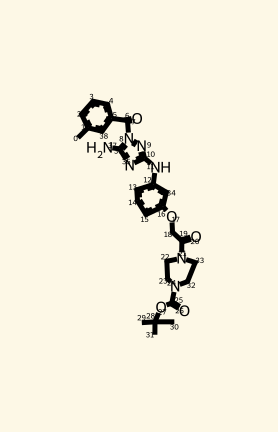 Cc1cccc(C(=O)n2nc(Nc3cccc(OCC(=O)N4CCN(C(=O)OC(C)(C)C)CC4)c3)nc2N)c1